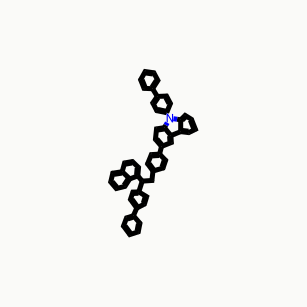 c1ccc(-c2ccc(C(Cc3ccc(-c4ccc5c(c4)c4ccccc4n5-c4ccc(-c5ccccc5)cc4)cc3)c3cccc4ccccc34)cc2)cc1